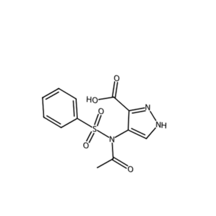 CC(=O)N(c1c[nH]nc1C(=O)O)S(=O)(=O)c1ccccc1